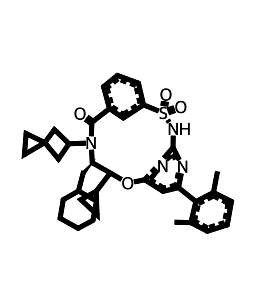 Cc1cccc(C)c1-c1cc2nc(n1)NS(=O)(=O)c1cccc(c1)C(=O)N(C1CC3(CC3)C1)[C@H](CC1CCCCC1)C(C1CC1)O2